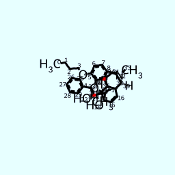 CCCCOc1ccc2c3c1O[C@H]1[C@@]4(O)C=C[C@@]5(C[C@@H]4[C@](C)(O)Cc4ccccc4)[C@@H](C2)N(C)CC[C@]315